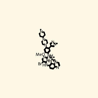 COc1cc(N2CCN(C3CCN(C)CC3)CC2)c(-c2cnn(C)c2)cc1Nc1ncc(Br)c(Nc2ccc3nccnc3c2NS(C)(=O)=O)n1